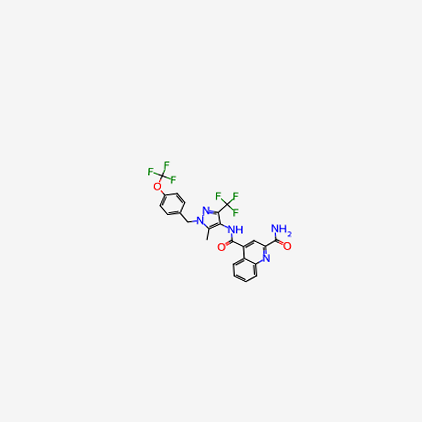 Cc1c(NC(=O)c2cc(C(N)=O)nc3ccccc23)c(C(F)(F)F)nn1Cc1ccc(OC(F)(F)F)cc1